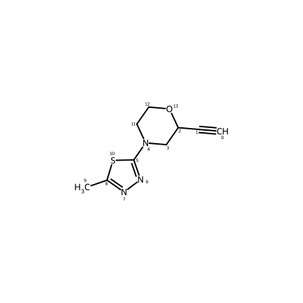 C#CC1CN(c2nnc(C)s2)CCO1